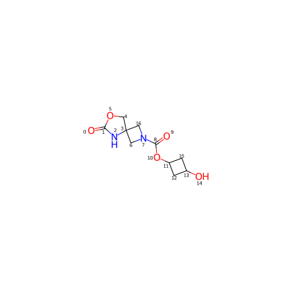 O=C1NC2(CO1)CN(C(=O)OC1CC(O)C1)C2